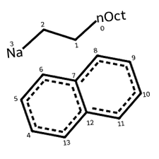 CCCCCCCCC[CH2][Na].c1ccc2ccccc2c1